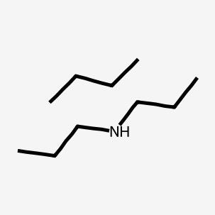 CCCC.CCCNCCC